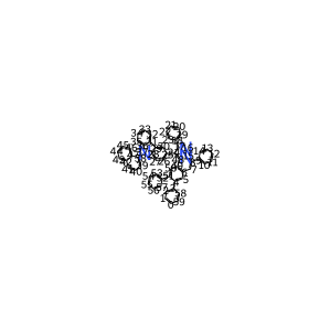 c1ccc(-c2cc3cc(-c4ccccc4)n4nc(-c5ccccc5)c(-c5ccc6c(c5)c5ccccc5n6-c5cccc6ccccc56)c4c3cc2-c2ccccc2)cc1